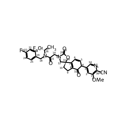 COc1cc(C2C=CC3=C(CC[C@]34CN(CC(=O)N(Cc3ccc(F)cc3)[C@@H](C)C(F)(F)F)C(=O)O4)C2=O)cnc1C#N